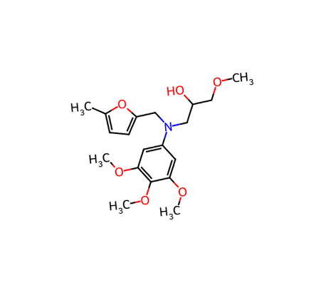 COCC(O)CN(Cc1ccc(C)o1)c1cc(OC)c(OC)c(OC)c1